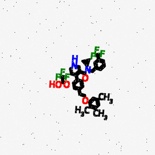 Cc1cc(C)c(C)c(OCCc2ccc(C3=C(C(=O)N(Cc4cccc(C(F)(F)F)c4)C4CC4)CNCC3)cc2)c1.O=C(O)C(F)(F)F